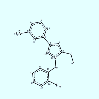 CCc1cc(-c2nccc(N)n2)nn1Cc1ccccc1F